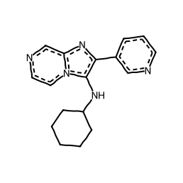 c1cncc(-c2nc3cnccn3c2NC2CCCCC2)c1